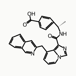 C[C@H](NC(=O)c1ncn2cccc(Cc3cc4ccccc4cn3)c12)c1ccc(C(=O)O)cc1